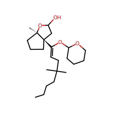 CCCCC(C)(C)CC=C(OC1CCCCO1)[C@@]12CCC[C@@]1(C)OC(O)C2